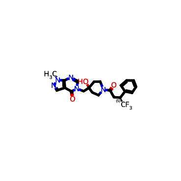 Cn1ncc2c(=O)n(CC3(O)CCN(C(=O)C[C@@H](c4ccccc4)C(F)(F)F)CC3)cnc21